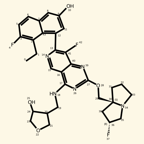 CCc1c(F)ccc2cc(O)cc(-c3ncc4c(NCC5COCC5O)nc(OC[C@@]56CCCN5C[C@H](F)C6)nc4c3F)c12